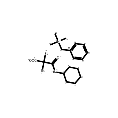 CCC(CC)(C(=O)[O-])C(=O)NC1CCCCC1.C[N+](C)(C)Cc1ccccc1